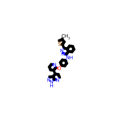 Cc1csc(-c2nnc(Nc3ccc(Oc4ncccc4-c4ccnc5[nH]ncc45)cc3)c3ccccc23)c1